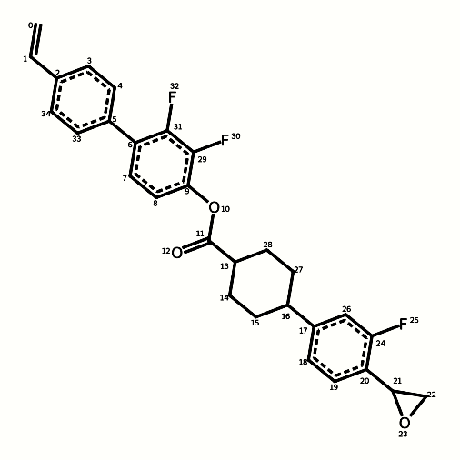 C=Cc1ccc(-c2ccc(OC(=O)C3CCC(c4ccc(C5CO5)c(F)c4)CC3)c(F)c2F)cc1